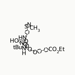 CCOC(=O)c1ccc(-c2ccc(OCCOCC(=O)NC(C(=O)N3C[C@H](O)C[C@H]3C(=O)NCc3ccc(-c4scnc4C)cc3)C(C)(C)C)cc2)cc1